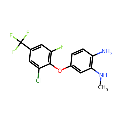 CNc1cc(Oc2c(F)cc(C(F)(F)F)cc2Cl)ccc1N